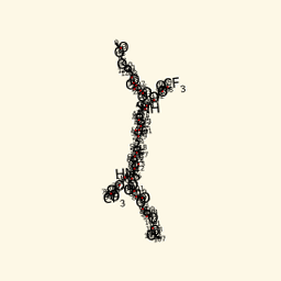 C#CC(=O)OCCCOc1ccc(CCOC(=O)C2CCC(C(=O)OCCC(CCCOCCOC(=O)C(=C)C(F)(F)F)NC(=S)c3ccc4cc(-c5ccc(/C=C/c6ccc(-c7ccc8cc(C(=S)NC(CCCOCCOC(=O)C(C)C(F)(F)F)CCOC(=O)C9CCC(C(=O)OCCc%10ccc(OCCCOC(=O)C#C)cc%10)CC9)ccc8c7)c(F)c6)cc5F)ccc4c3)CC2)cc1